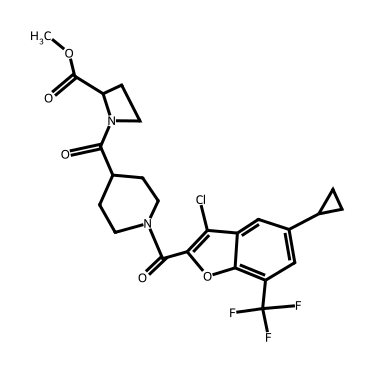 COC(=O)C1CCN1C(=O)C1CCN(C(=O)c2oc3c(C(F)(F)F)cc(C4CC4)cc3c2Cl)CC1